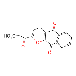 O=C(O)CC(=O)C1=CCC2=C(O1)C(=O)c1ccccc1C2=O